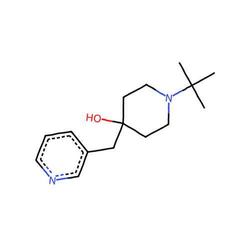 CC(C)(C)N1CCC(O)(Cc2cccnc2)CC1